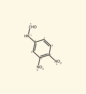 O=CNc1ccc([N+](=O)[O-])c([N+](=O)[O-])c1